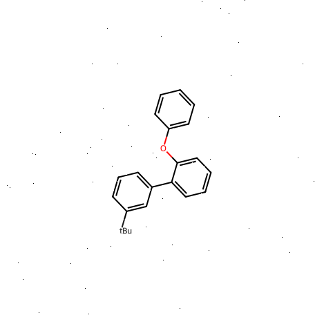 CC(C)(C)c1cccc(-c2ccccc2Oc2ccccc2)c1